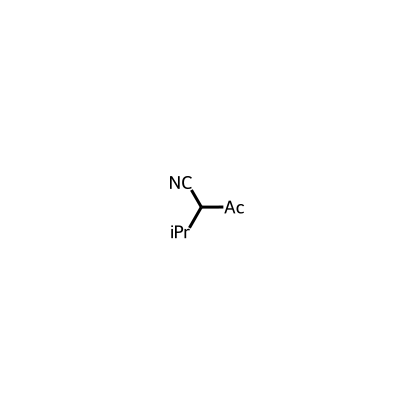 CC(=O)C(C#N)C(C)C